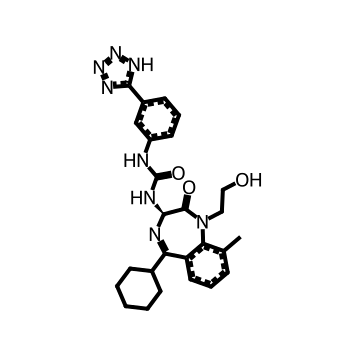 Cc1cccc2c1N(CCO)C(=O)[C@H](NC(=O)Nc1cccc(-c3nnn[nH]3)c1)N=C2C1CCCCC1